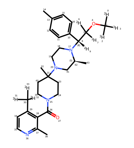 [2H]C([2H])([2H])OC([2H])([2H])[C@@]([2H])(c1ccc(C)cc1)N1CCN(C2(C)CCN(C(=O)c3c(C([2H])([2H])[2H])ccnc3C)CC2)C[C@@H]1C